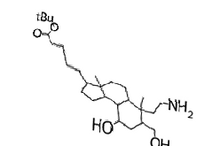 CC(C)(C)OC(=O)CCCCC1CCC2C3C(O)CC(CO)C(C)(CCN)C3CCC12C